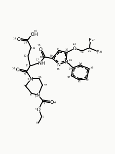 CCOC(=O)N1CCN(C(=O)C(CCC(=O)O)NC(=O)c2cc(OCC(F)F)n(-c3ccccc3)n2)CC1